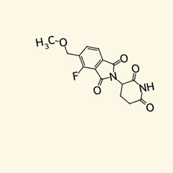 COCc1ccc2c(c1F)C(=O)N(C1CCC(=O)NC1=O)C2=O